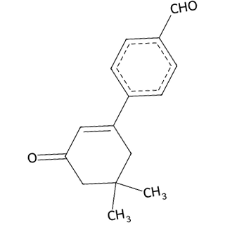 CC1(C)CC(=O)C=C(c2ccc(C=O)cc2)C1